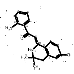 CC1(C)Cc2cc(Cl)ccc2C(=CC(=O)c2ccccc2N)N1